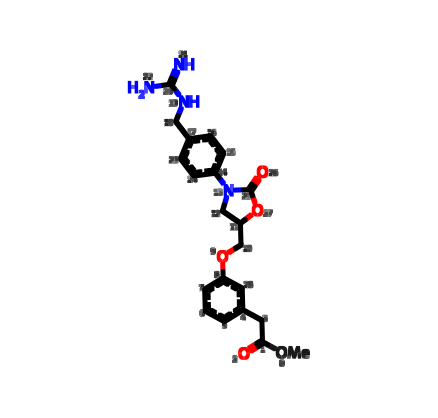 COC(=O)Cc1cccc(OCC2CN(c3ccc(CNC(=N)N)cc3)C(=O)O2)c1